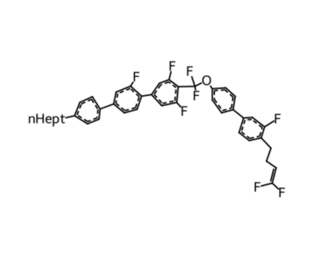 CCCCCCCc1ccc(-c2ccc(-c3cc(F)c(C(F)(F)Oc4ccc(-c5ccc(CCC=C(F)F)c(F)c5)cc4)c(F)c3)c(F)c2)cc1